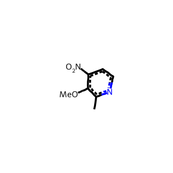 COc1c([N+](=O)[O-])ccnc1C